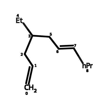 C=CCC(CC)CC=CCCC